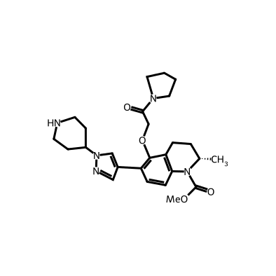 COC(=O)N1c2ccc(-c3cnn(C4CCNCC4)c3)c(OCC(=O)N3CCCC3)c2CC[C@@H]1C